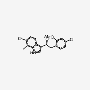 COc1cc(Cl)ccc1CC(=O)c1c[nH]c2c(C)c(Cl)ccc12